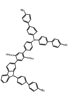 CCCCCCc1cc(-c2ccc3c4ccccc4n(-c4ccc(-c5ccc(C(C)(C)C)cc5)cc4)c3c2)c(CCCCCC)cc1-c1ccc(N(c2ccc(-c3ccc(CCC)cc3)cc2)c2ccc(-c3ccc(C(C)(C)C)cc3)cc2)cc1